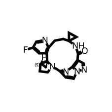 O=C1NC2(CCc3ncc(F)cc3[C@@]34C[C@@H]3CCN4c3ccn4ncc1c4n3)CC2